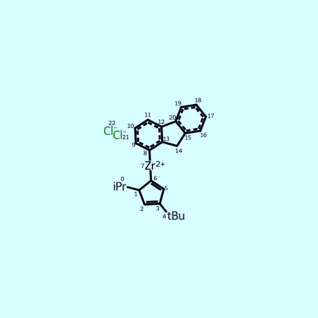 CC(C)C1C=C(C(C)(C)C)C=[C]1[Zr+2][c]1cccc2c1Cc1ccccc1-2.[Cl-].[Cl-]